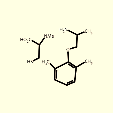 CNC(CS)C(=O)O.Cc1cccc(C)c1OCC(C)N